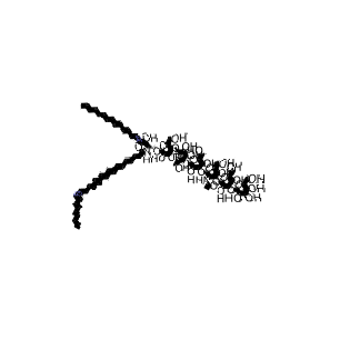 CCCCCCCC/C=C\CCCCCCCCCCCCCCCC(=O)N[C@@H](CO[C@@H]1OC(CO)[C@@H](O[C@@H]2OC(CO)[C@H](O[C@@H]3OC(CO)[C@H](O)[C@H](O[C@@H]4OC(CO)[C@H](O)[C@H](O[C@@H]5OC(CO)[C@H](O)[C@H](O[C@H]6OC(CO)[C@H](O)[C@H](O)C6O)C5O)C4NC(C)=O)C3O)[C@H](O)C2O)[C@H](O)C1O)[C@H](O)/C=C/CCCCCCCCCCCCC